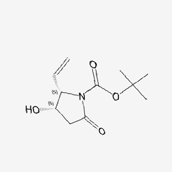 C=C[C@H]1[C@@H](O)CC(=O)N1C(=O)OC(C)(C)C